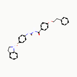 O=C(NC(=S)Nc1ccc(S(=O)(=O)N2CCc3ccccc32)cc1)c1ccc(OCCc2ccccc2)cc1